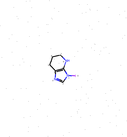 In1cnc2c1NCCC2